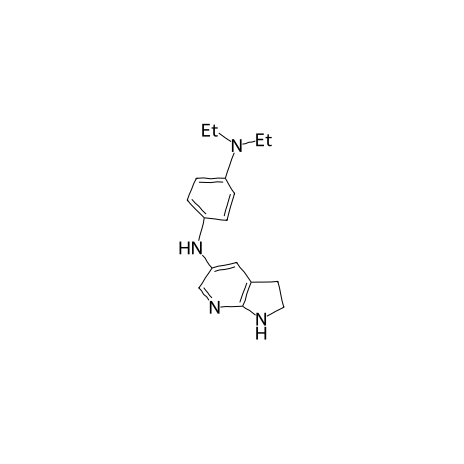 CCN(CC)c1ccc(Nc2cnc3c(c2)CCN3)cc1